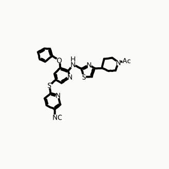 [C-]#[N+]c1ccc(Sc2cnc(Nc3nc(C4CCN(C(C)=O)CC4)cs3)c(Oc3ccccc3)c2)nc1